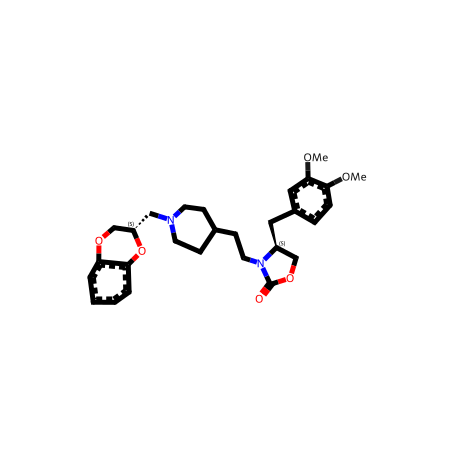 COc1ccc(C[C@H]2COC(=O)N2CCC2CCN(C[C@H]3COc4ccccc4O3)CC2)cc1OC